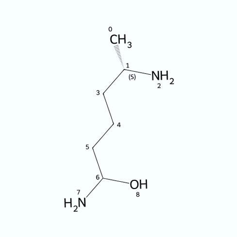 C[C@H](N)CCCC(N)O